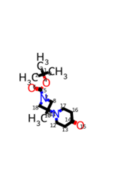 CC(C)(C)OC(=O)N1CC(C)(N2CCC(=O)CC2)C1